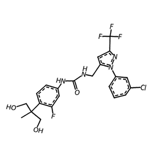 CC(CO)(CO)c1ccc(NC(=O)NCc2cc(C(F)(F)F)nn2-c2cccc(Cl)c2)cc1F